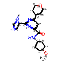 Cn1cncc1-c1nc(C(=O)N[C@H]2CC[C@H](OC(F)(F)F)CC2)cc(C2CCOCC2)n1